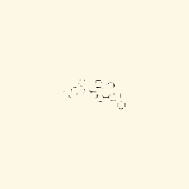 CC1(C)CCC(C)(C)c2cc3c(cc21)-c1ccc(N(c2cccc(-c4ccc5c(c4)-c4ccccc4C5(C)C)c2)c2cccc4c2oc2ccccc24)cc1C31CCCC1